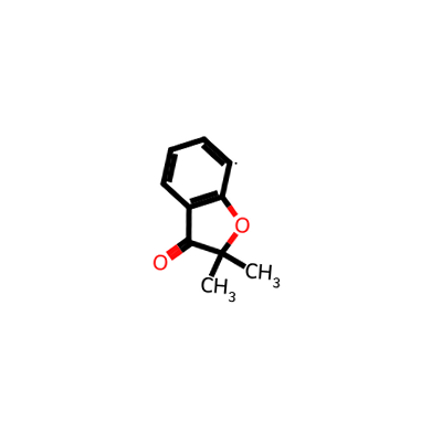 CC1(C)Oc2[c]cccc2C1=O